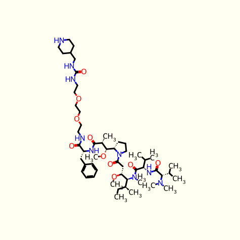 CC[C@H](C)[C@@H]([C@@H](CC(=O)N1CCC[C@H]1[C@H](OC)[C@@H](C)C(=O)N[C@H](Cc1ccccc1)C(=O)NCCOCCOCCNC(=O)NCC1CCNCC1)OC)N(C)C(=O)[C@@H](NC(=O)[C@H](C(C)C)N(C)C)C(C)C